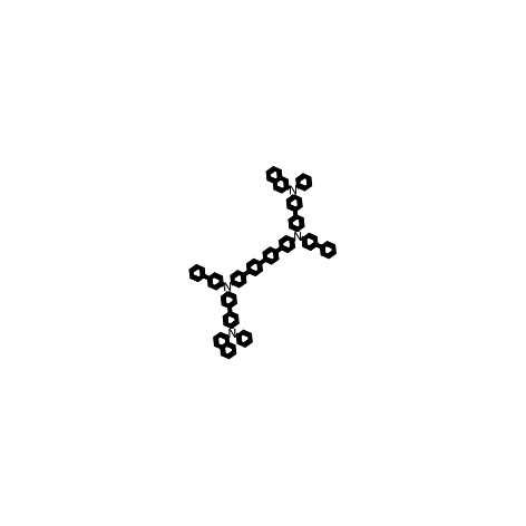 c1ccc(-c2ccc(N(c3ccc(-c4ccc(-c5ccc(-c6ccc(N(c7ccc(-c8ccccc8)cc7)c7ccc(-c8ccc(N(c9ccccc9)c9cccc%10ccccc9%10)cc8)cc7)cc6)cc5)cc4)cc3)c3ccc(-c4ccc(N(c5ccccc5)c5ccc6ccccc6c5)cc4)cc3)cc2)cc1